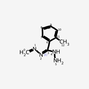 C=N/N=C(/NN)c1ccccc1C